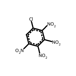 O=[N+]([O-])c1cc(Cl)c([N+](=O)[O-])c([N+](=O)[O-])c1[N+](=O)[O-]